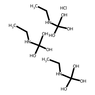 CCNC(O)(O)O.CCNC(O)(O)O.CCNC(O)(O)O.Cl